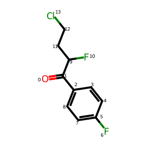 O=C(c1ccc(F)cc1)C(F)CCCl